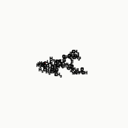 CC[C@H](O[Si](CC)(CC)CC)[C@@H](C)[C@H]1O[C@H]1[C@@](C)(OC)[C@@](C)(/C=C/C(C)=C(\C)[C@H]1C/C=C/[C@H](OC(=O)N2CCN[C@H](CCC(=O)O)C2)CCC[C@@H](O[Si](CC)(CC)CC)CC(=O)O1)O[Si](CC)(CC)CC